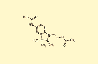 C=C1N(CCOC(C)=O)c2ccc(NC(C)=O)cc2C1(C)C